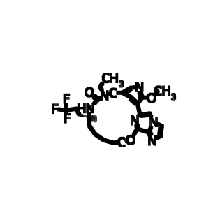 CCN1Cc2cnc(OC)c(c2)-c2cn3ccnc3c(n2)OCCCCC[C@H](CCC(F)(F)F)NC1=O